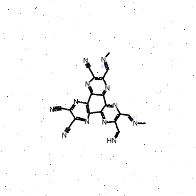 C/N=C/c1nc2c(nc1C#N)c1nc(C#N)c(C#N)nc1c1nc(C=N)c(/C=N/C)nc12